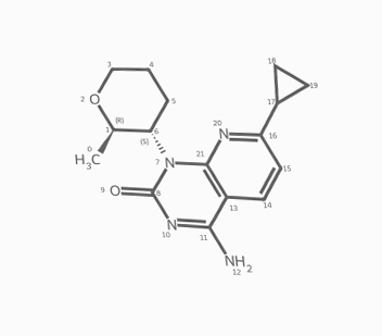 C[C@H]1OCCC[C@@H]1n1c(=O)nc(N)c2ccc(C3CC3)nc21